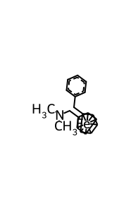 CN(C)C[C]12[CH]3[CH]4[CH]5[CH]1[Fe]45321678[CH]2[CH]1[CH]6[C]7(Cc1ccccc1)[CH]28